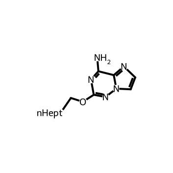 CCCCCCCCOc1nc(N)c2nccn2n1